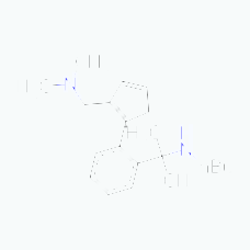 CCCCNC(C)(C)c1ccccc1C1=C(CN(C)C)C=CC1